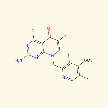 COc1c(C)cnc(Cn2cc(C)c(=O)c3c(Cl)nc(N)nc32)c1C